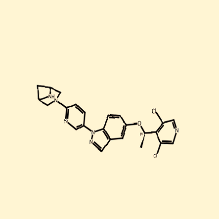 C[C@@H](Oc1ccc2c(cnn2-c2ccc(N3CC4CC(C3)N4)nc2)c1)c1c(Cl)cncc1Cl